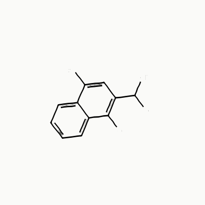 Oc1c(C(O)C(F)(F)F)cc(Br)c2ccccc12